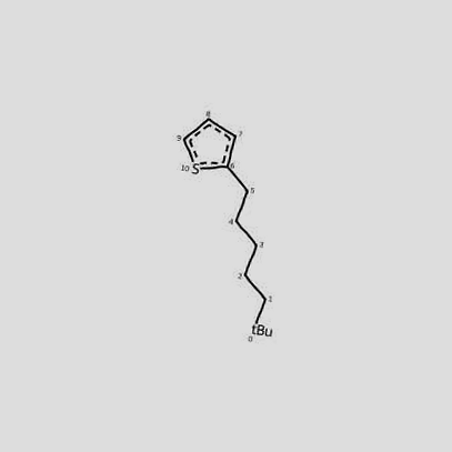 CC(C)(C)CCCCCc1cccs1